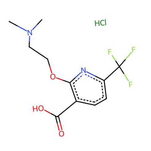 CN(C)CCOc1nc(C(F)(F)F)ccc1C(=O)O.Cl